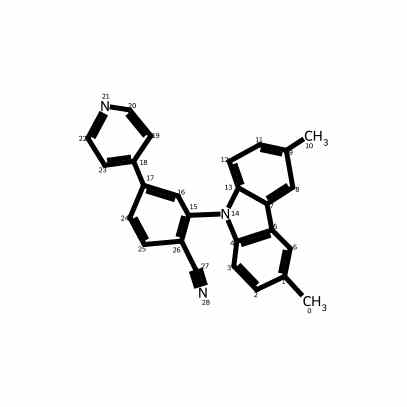 Cc1ccc2c(c1)c1cc(C)ccc1n2-c1cc(-c2ccncc2)ccc1C#N